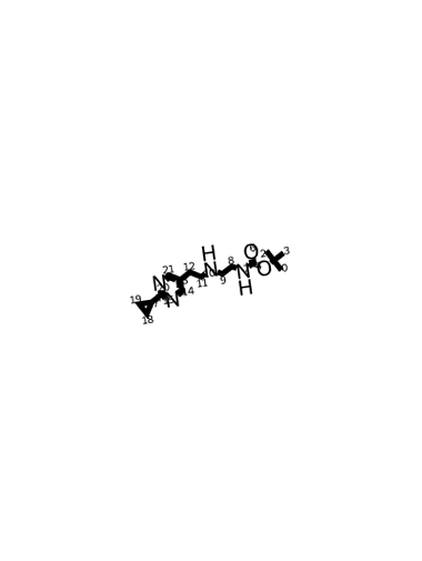 CC(C)(C)OC(=O)NCCNCCc1cnc(C2CC2)nc1